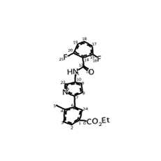 CCOC(=O)c1ccc(C)c(-c2ccc(NC(=O)c3c(F)cccc3F)cn2)c1